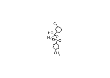 Cc1ccc(S(=O)(=O)O[C@@](C)(O)c2cccc(Cl)c2)cc1